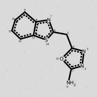 Nc1nnc(Cc2nc3ccccc3s2)o1